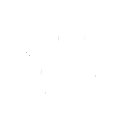 CCN1C=CN(C)C1Cc1ccc(Cl)cc1C(F)(F)F